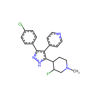 CN1CCC(c2[nH]nc(-c3ccc(Cl)cc3)c2-c2ccncc2)C(F)C1